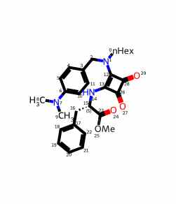 CCCCCCN(Cc1ccc(N(C)C)cc1)c1c(N[C@@H](Cc2ccccc2)C(=O)OC)c(=O)c1=O